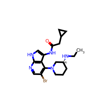 CCN[C@@H]1CCCN(c2c(Br)cnc3[nH]cc(NC(=O)CC4CC4)c23)C1